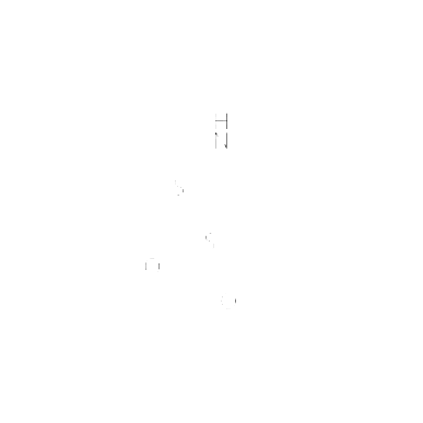 O=S1(=O)C=CNS1